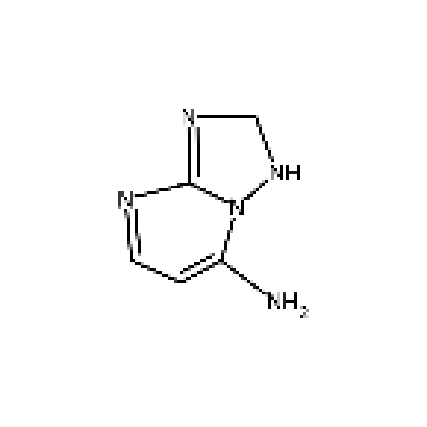 NC1=CC=NC2=NCNN12